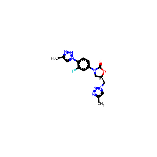 Cc1cn(C[C@H]2CN(c3ccc(-n4cc(C)nn4)c(F)c3)C(=O)O2)nn1